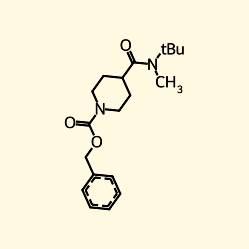 CN(C(=O)C1CCN(C(=O)OCc2ccccc2)CC1)C(C)(C)C